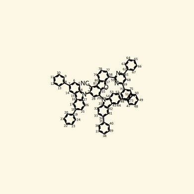 N#Cc1c(-n2c3ccc(-c4ccccc4)cc3c3cc(-c4ccccc4)ccc32)cc(-n2c3ccc(-c4ccccc4)cc3c3cc(-c4ccccc4)ccc32)c2oc3c(-c4nc(-c5ccccc5)cc(-c5ccccc5)n4)cccc3c12